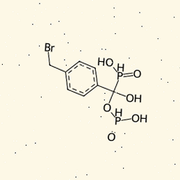 O=[PH](O)OC(O)(c1ccc(CBr)cc1)[PH](=O)O